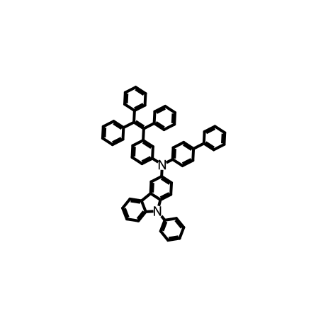 c1ccc(C(=C(c2ccccc2)c2cccc(N(c3ccc(-c4ccccc4)cc3)c3ccc4c(c3)c3ccccc3n4-c3ccccc3)c2)c2ccccc2)cc1